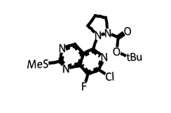 CSc1ncc2c(N3CCCN3C(=O)OC(C)(C)C)nc(Cl)c(F)c2n1